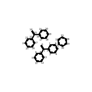 C=C(c1ccccc1)c1ccccc1.C=C(c1ccccc1)c1ccccc1.c1ccccc1